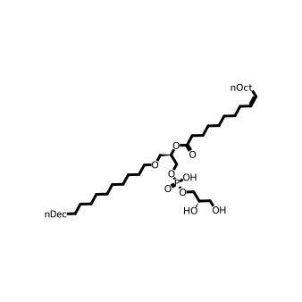 CCCCCCCC/C=C\CCCCCCCC(=O)O[C@H](COCCCCCCCCCCCCCCCCCCCC)COP(=O)(O)OC[C@@H](O)CO